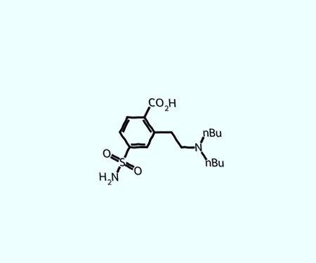 CCCCN(CCCC)CCc1cc(S(N)(=O)=O)ccc1C(=O)O